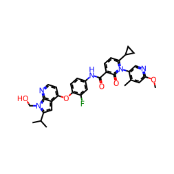 COc1cc(C)c(-n2c(C3CC3)ccc(C(=O)Nc3ccc(Oc4ccnc5c4cc(C(C)C)n5CO)c(F)c3)c2=O)cn1